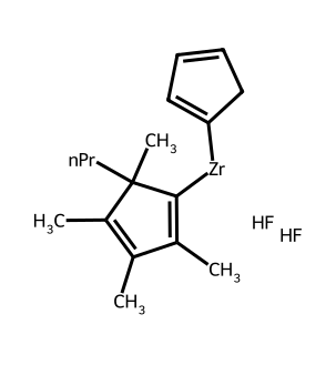 CCCC1(C)C(C)=C(C)C(C)=[C]1[Zr][C]1=CC=CC1.F.F